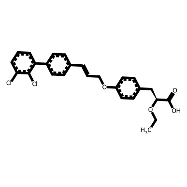 CCO[C@@H](Cc1ccc(OC/C=C/c2ccc(-c3cccc(Cl)c3Cl)cc2)cc1)C(=O)O